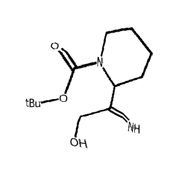 CC(C)(C)OC(=O)N1CCCCC1C(=N)CO